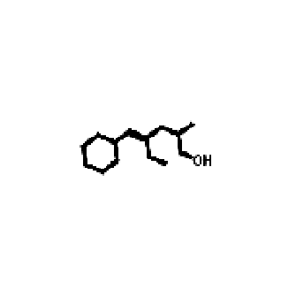 CC/C(=C\C1CCCCC1)CC(C)CO